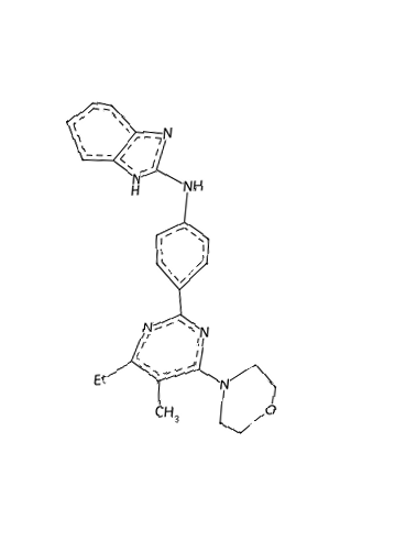 CCc1nc(-c2ccc(Nc3nc4ccccc4[nH]3)cc2)nc(N2CCOCC2)c1C